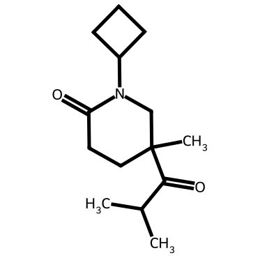 CC(C)C(=O)C1(C)CCC(=O)N(C2CCC2)C1